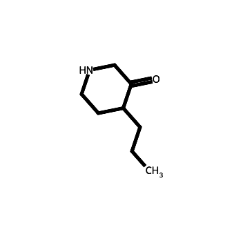 CCCC1CCNCC1=O